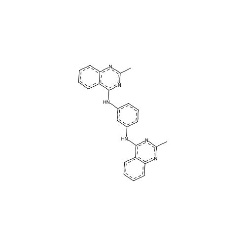 Cc1nc(Nc2cccc(Nc3nc(C)nc4ccccc34)c2)c2ccccc2n1